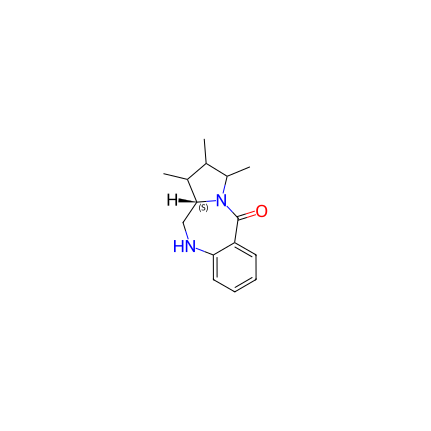 CC1C(C)[C@H]2CNc3ccccc3C(=O)N2C1C